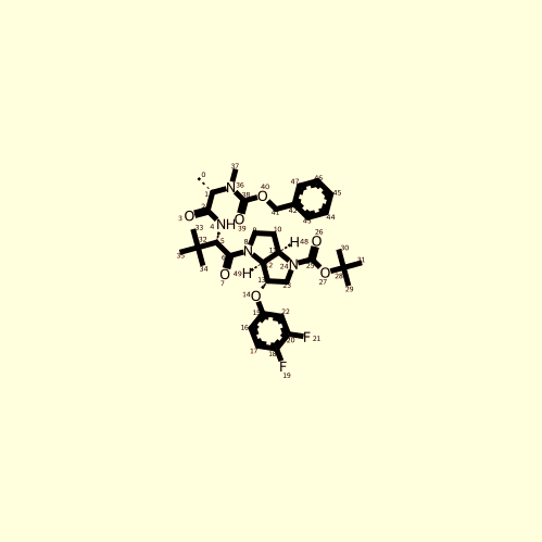 C[C@@H](C(=O)N[C@H](C(=O)N1CC[C@@H]2[C@H]1[C@@H](Oc1ccc(F)c(F)c1)CN2C(=O)OC(C)(C)C)C(C)(C)C)N(C)C(=O)OCc1ccccc1